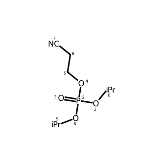 CC(C)OP(=O)(OCCC#N)OC(C)C